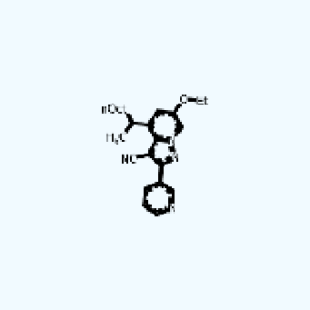 CCCCCCCCC(C)c1cc(OCC)cn2nc(-c3cccnc3)c(C#N)c12